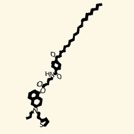 CCCCCCCCCCCCCCCCCCCC(=O)c1ccc(C(=O)NCCCC(=O)Oc2cccc3c2CCC(N(CCC)CCc2cccs2)C3)cc1